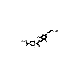 CC[C@@H]1CN(C(=O)OC(C)(C)C)CCN1C(=O)OCc1c(F)cc(OCCOC)cc1Cl